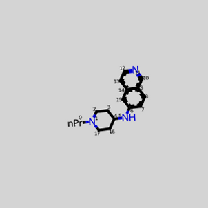 CCCN1CCC(Nc2ccc3cnccc3c2)CC1